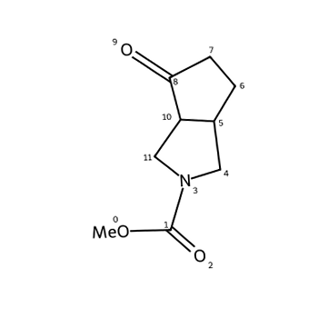 COC(=O)N1CC2CCC(=O)C2C1